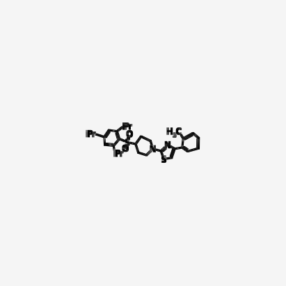 Cc1ccccc1-c1csc(N2CCC(S(=O)(=O)c3c(C(C)C)cc(C(C)C)cc3C(C)C)CC2)n1